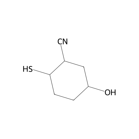 N#CC1CC(O)CCC1S